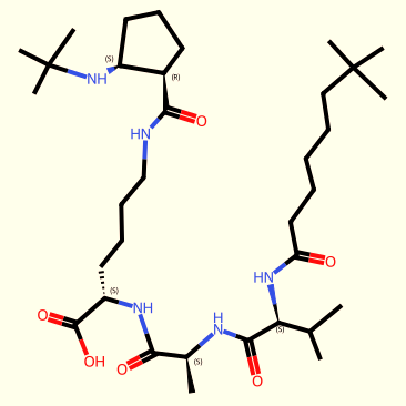 CC(C)[C@H](NC(=O)CCCCCC(C)(C)C)C(=O)N[C@@H](C)C(=O)N[C@@H](CCCCNC(=O)[C@@H]1CCC[C@@H]1NC(C)(C)C)C(=O)O